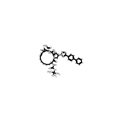 CC(C)(C)OC(=O)N[C@H]1CCCCC/C=C\[C@@H]2C[C@@]2(C(=O)O)NC(=O)[C@@H]2C[C@@H](n3nnc(-c4ccc(-c5ccccc5)cc4)n3)CN2C1=O